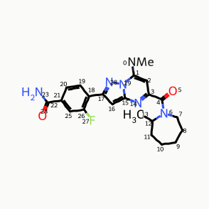 CNc1cc(C(=O)N2CCCCCC2C)nc2cc(-c3ccc(C(N)=O)cc3F)nn12